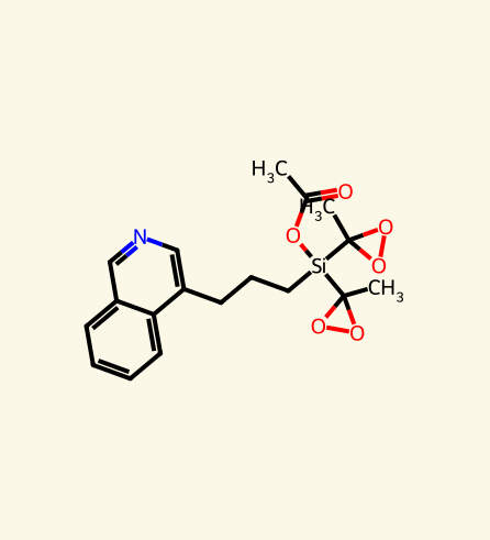 CC(=O)O[Si](CCCc1cncc2ccccc12)(C1(C)OO1)C1(C)OO1